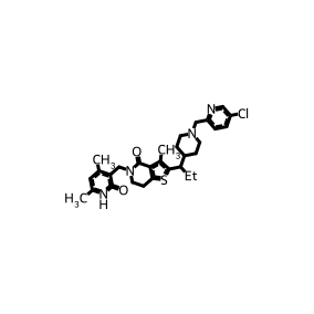 CCC(c1sc2c(c1C)C(=O)N(Cc1c(C)cc(C)[nH]c1=O)CC2)C1CCN(Cc2ccc(Cl)cn2)CC1